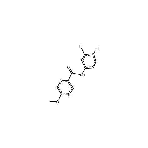 COc1cnc(C(=O)Nc2ccc(Cl)c(F)c2)cn1